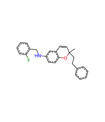 CC1(CCc2ccccc2)C=Cc2cc(NCc3ccccc3F)ccc2O1